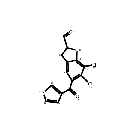 O=CC1Cc2cc(C(=O)c3ccsc3)c(Cl)c(Cl)c2O1